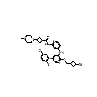 CN1CCN(C2CC(C(=O)Nc3cc(Nc4cc(-c5cc(Cl)ccc5F)nnc4OCC4CC(O)C4)ccn3)C2)CC1